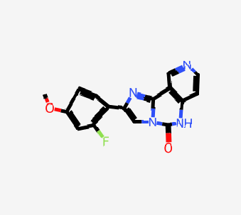 COc1ccc(-c2cn3c(=O)[nH]c4ccncc4c3n2)c(F)c1